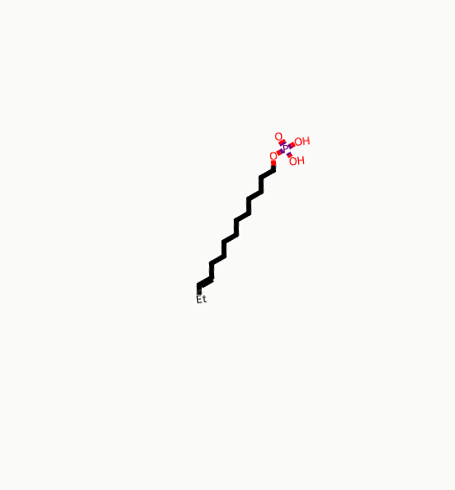 CCC=CCCCCCCCCCCOP(=O)(O)O